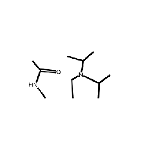 CCN(C(C)C)C(C)C.CNC(C)=O